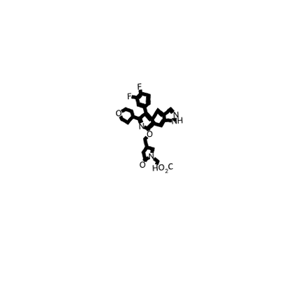 O=C(O)CN1CC(COc2nc(C3CCOCC3)c(-c3ccc(F)c(F)c3)c3cc4cn[nH]c4cc23)CC1=O